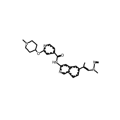 C=NN(C)/C=C(\C)c1ccc2cnc(NC(=O)c3ccnc(OC4CCN(C)CC4)c3)cc2c1